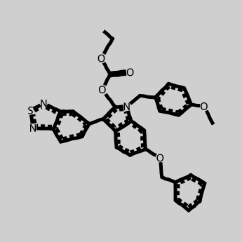 CCOC(=O)Oc1c(-c2ccc3nsnc3c2)c2ccc(OCc3ccccc3)cc2n1Cc1ccc(OC)cc1